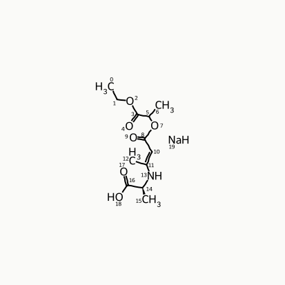 CCOC(=O)C(C)OC(=O)/C=C(\C)N[C@@H](C)C(=O)O.[NaH]